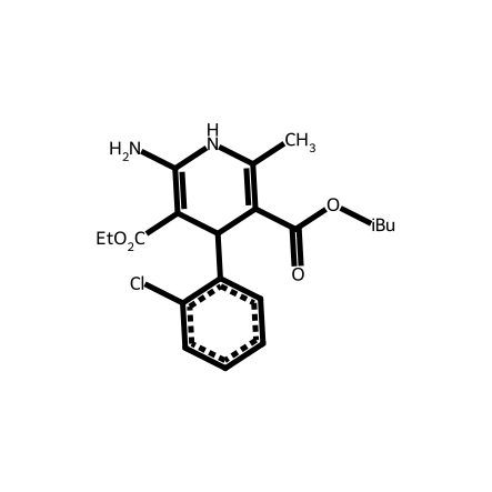 CCOC(=O)C1=C(N)NC(C)=C(C(=O)OC(C)CC)C1c1ccccc1Cl